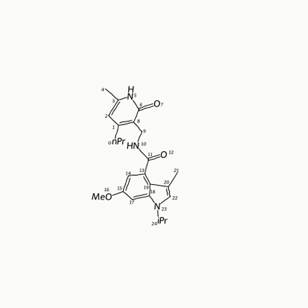 CCCc1cc(C)[nH]c(=O)c1CNC(=O)c1cc(OC)cc2c1c(C)cn2C(C)C